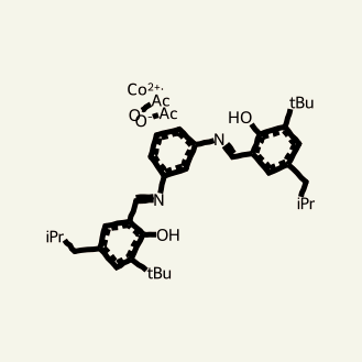 CC(=O)[O-].CC(=O)[O-].CC(C)Cc1cc(C=Nc2cccc(N=Cc3cc(CC(C)C)cc(C(C)(C)C)c3O)c2)c(O)c(C(C)(C)C)c1.[Co+2]